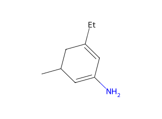 CCC1=CC(N)=CC(C)C1